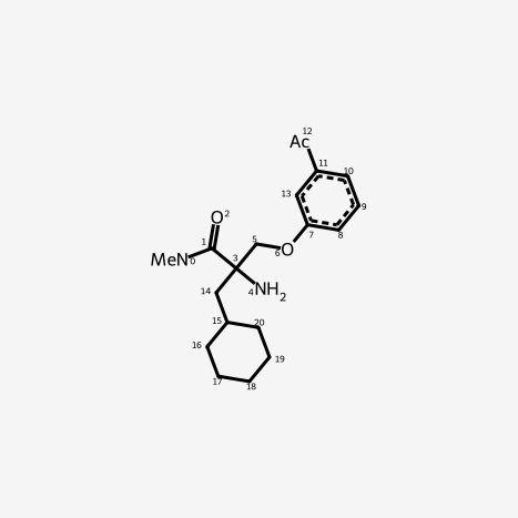 CNC(=O)C(N)(COc1cccc(C(C)=O)c1)CC1CCCCC1